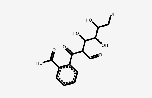 O=CC(C(=O)c1ccccc1C(=O)O)C(O)C(O)C(O)CO